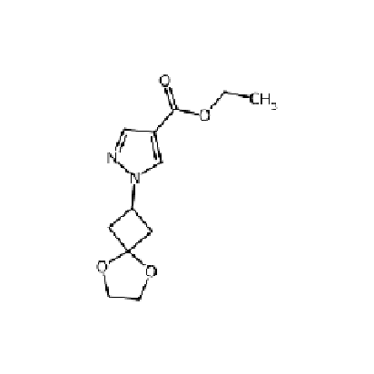 CCOC(=O)c1cnn(C2CC3(C2)OCCO3)c1